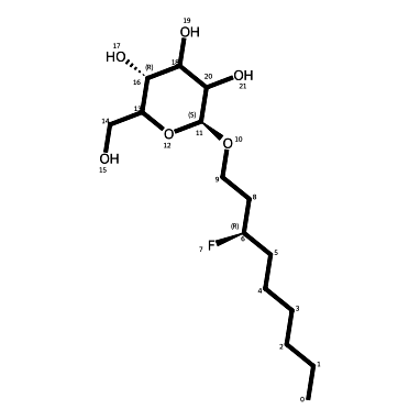 CCCCCC[C@@H](F)CCO[C@H]1OC(CO)[C@H](O)C(O)C1O